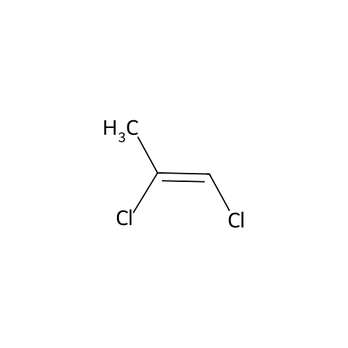 C/C(Cl)=C/Cl